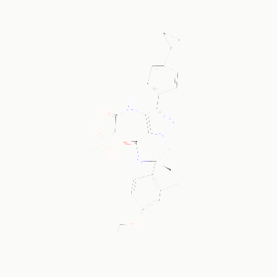 CCc1cc(OCC(F)(F)F)ccc1[C@@]1(C)Cn2nc(-c3ccc(C4CC4)cc3)c(NC(=O)CS(C)(=O)=O)c2C(=O)N1